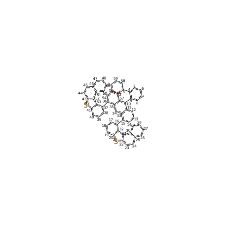 c1ccc(-c2ccccc2-c2c3cccc(-c4cccc5sc6ccc7ccccc7c6c45)c3cc3c(-c4cccc5sc6ccc7ccccc7c6c45)cccc23)cc1